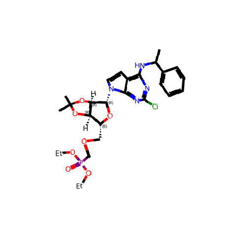 CCOP(=O)(COC[C@H]1O[C@@H](n2ccc3c(NC(C)c4ccccc4)nc(Cl)nc32)[C@@H]2OC(C)(C)O[C@@H]21)OCC